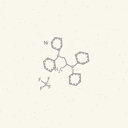 F[B-](F)(F)F.[CH2]C(CP(c1ccccc1)c1ccccc1)P(c1ccccc1)c1ccccc1.[Ni]